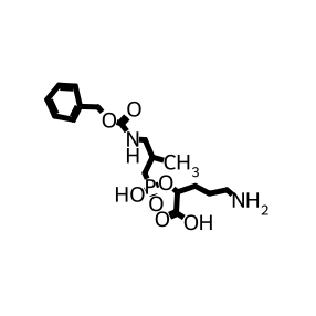 CC(CNC(=O)OCc1ccccc1)CP(=O)(O)OC(CCCN)C(=O)O